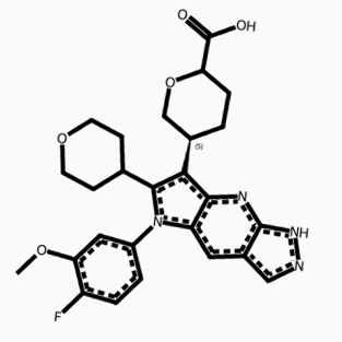 COc1cc(-n2c(C3CCOCC3)c([C@@H]3CCC(C(=O)O)OC3)c3nc4[nH]ncc4cc32)ccc1F